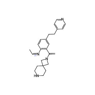 C=C(c1cc(CCc2ccncc2)ccc1/N=C\C)N1CC2(CCNCC2)C1